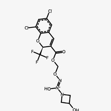 O=C(OCO/N=[N+](\O)N1CC(O)C1)C1=Cc2cc(Cl)cc(Cl)c2O[C@@H]1C(F)(F)F